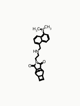 CN(C)c1cccc2c(CNCCN3C(=O)C4C5C=CC(C6C=CC65)C4C3=O)cccc12